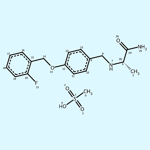 CS(=O)(=O)O.C[C@H](NCc1ccc(OCc2ccccc2F)cc1)C(N)=O